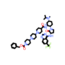 CC(C)N(C)[C@@H]1CC[C@H](N2CC[C@H](Nc3ncnc4ccc(C(F)(F)F)cc34)C2=O)[C@H](NC(=O)C2CCN(C3CCN(C4CCN(C(=O)OCc5ccccc5)CC4)CC3)CC2)C1